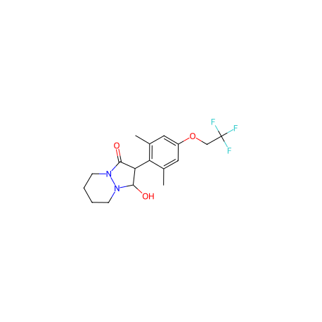 Cc1cc(OCC(F)(F)F)cc(C)c1C1C(=O)N2CCCCN2C1O